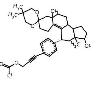 CC1(C)COC2(CCC3=C4C(CCC3(O)C2)C2CCC(O)C2(C)C[C@@H]4c2ccc(C#CCOC(=O)Cl)cc2)OC1